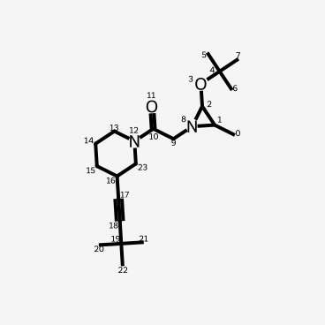 CC1C(OC(C)(C)C)N1CC(=O)N1CCCC(C#CC(C)(C)C)C1